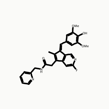 COc1cc(/C=C2/C(C)=C(CC(=O)NCc3ccccn3)c3cc(F)ncc32)cc(OC)c1O